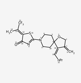 C=C1COC2(CCN(C3=NC(=O)/C(=C(\C)C(F)(F)F)S3)CC2)/C1=C/CCC